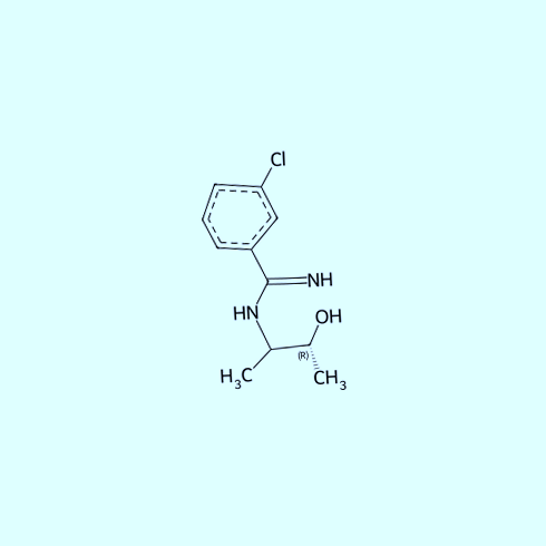 CC(NC(=N)c1cccc(Cl)c1)[C@@H](C)O